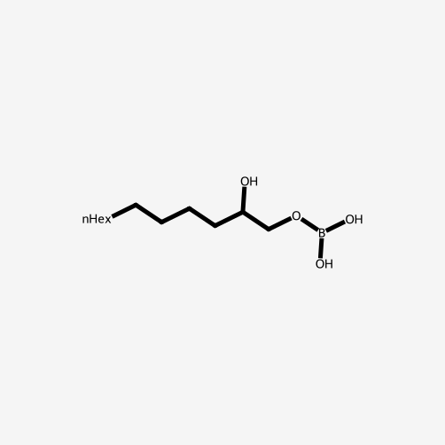 CCCCCCCCCCC(O)COB(O)O